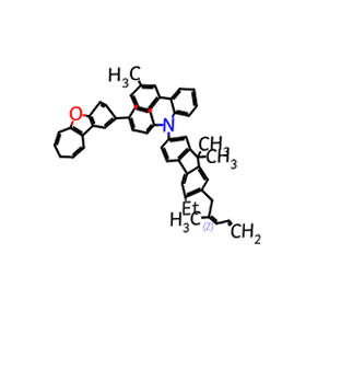 C=C/C=C(/C)Cc1cc2c(cc1CC)-c1ccc(N(c3ccc(-c4ccc5oc6c(c5c4)C=CCC=C6)cc3)c3ccccc3-c3cccc(C)c3)cc1C2(C)C